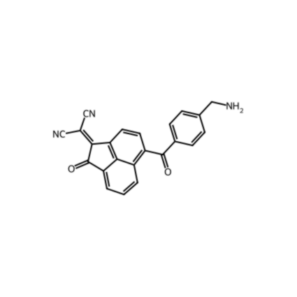 N#CC(C#N)=c1c(=O)c2cccc3c(C(=O)c4ccc(CN)cc4)ccc1c32